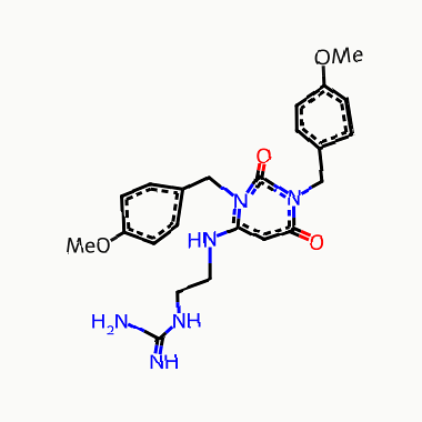 COc1ccc(Cn2c(NCCNC(=N)N)cc(=O)n(Cc3ccc(OC)cc3)c2=O)cc1